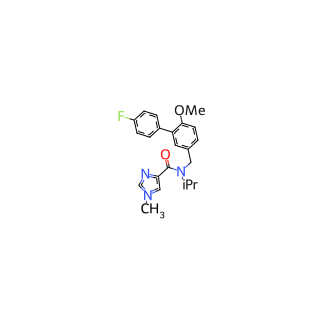 COc1ccc(CN(C(=O)c2cn(C)cn2)C(C)C)cc1-c1ccc(F)cc1